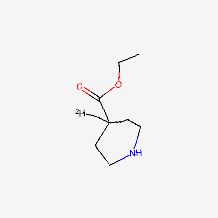 [2H]C1(C(=O)OCC)CCNCC1